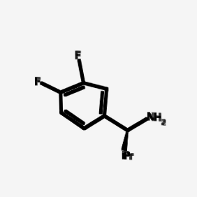 CC(C)[C@H](N)c1ccc(F)c(F)c1